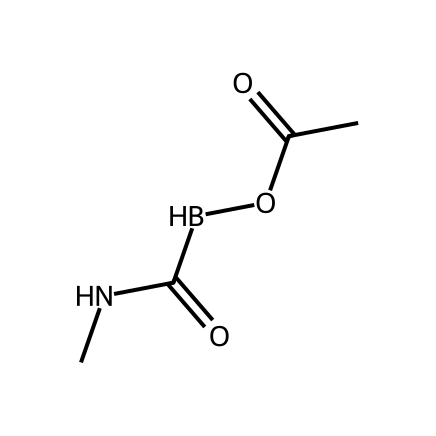 CNC(=O)BOC(C)=O